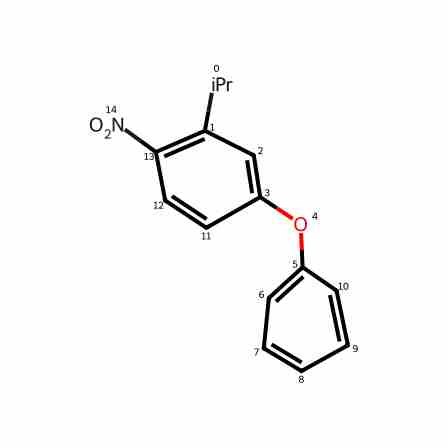 CC(C)c1cc(Oc2ccccc2)ccc1[N+](=O)[O-]